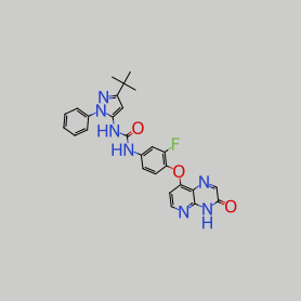 CC(C)(C)c1cc(NC(=O)Nc2ccc(Oc3ccnc4[nH]c(=O)cnc34)c(F)c2)n(-c2ccccc2)n1